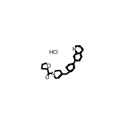 Cl.O=C(C1CCCO1)N1CC=C(Cc2ccc(-c3ccc4cccnc4c3)cc2)CC1